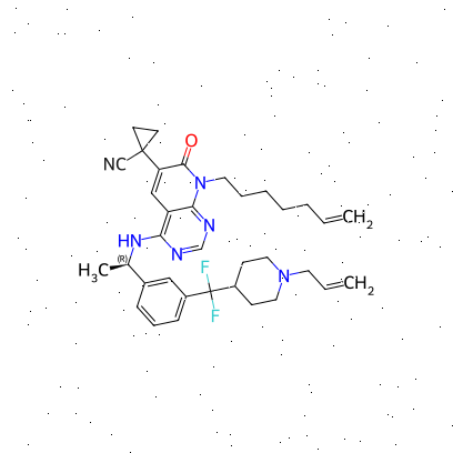 C=CCCCCCn1c(=O)c(C2(C#N)CC2)cc2c(N[C@H](C)c3cccc(C(F)(F)C4CCN(CC=C)CC4)c3)ncnc21